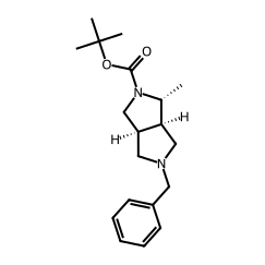 C[C@@H]1[C@H]2CN(Cc3ccccc3)C[C@H]2CN1C(=O)OC(C)(C)C